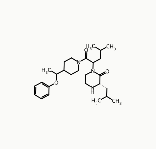 CC(C)CC(C(=O)N1CCC(C(C)Oc2ccccc2)CC1)N1CCN[C@@H](CC(C)C)C1=O